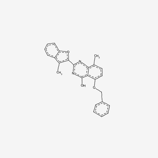 Cc1c(-c2nc(O)c3c(OCc4ccccc4)ccc(C)c3n2)oc2ccccc12